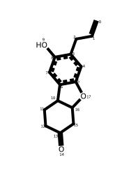 C=CCc1cc2c(cc1O)C1CCC(=O)CC1O2